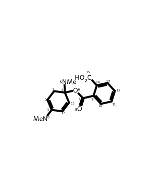 CNC1=CCC(NC)(OC(=O)c2ccccc2C(=O)O)C=C1